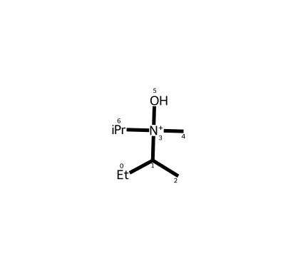 CCC(C)[N+](C)(O)C(C)C